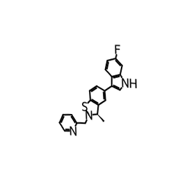 C[C@@H]1c2cc(-c3c[nH]c4cc(F)ccc34)ccc2SN1Cc1ccccn1